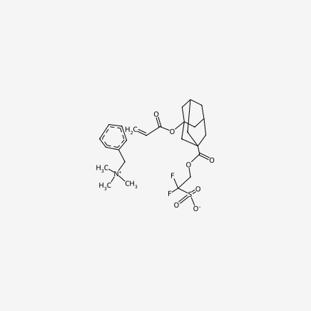 C=CC(=O)OC12CC3CC(C1)CC(C(=O)OCC(F)(F)S(=O)(=O)[O-])(C3)C2.C[N+](C)(C)Cc1ccccc1